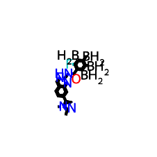 Bc1c(B)c(B)c(C(=O)Nc2ncc3ccc(-c4cnc(C)n4C)cc3n2)c(F)c1B